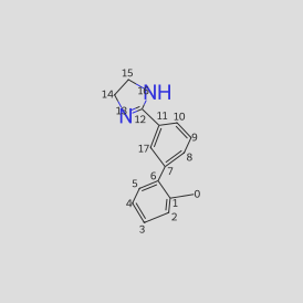 Cc1ccccc1-c1cccc(C2=NCCN2)c1